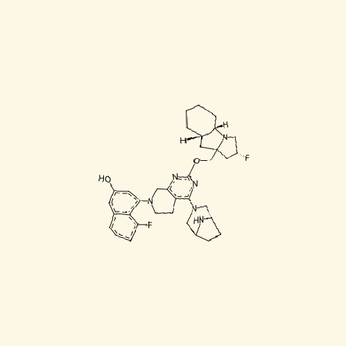 Oc1cc(N2CCc3c(nc(OCC45C[C@@H](F)CN4[C@H]4CCCC[C@H]4C5)nc3N3CC4CCC(C3)N4)C2)c2c(F)cccc2c1